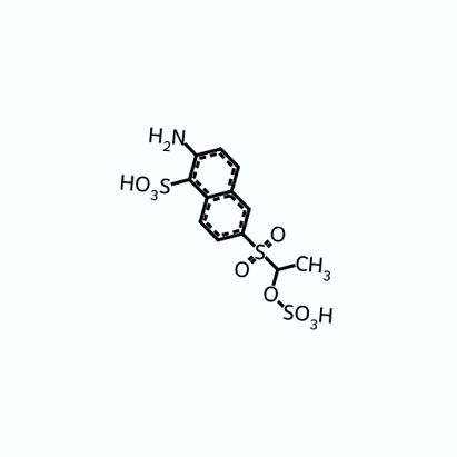 CC(OS(=O)(=O)O)S(=O)(=O)c1ccc2c(S(=O)(=O)O)c(N)ccc2c1